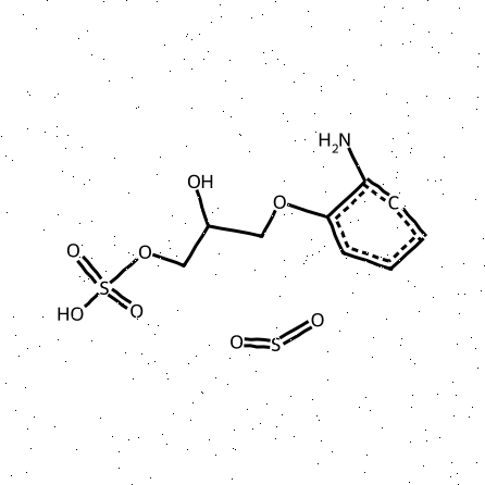 Nc1ccccc1OCC(O)COS(=O)(=O)O.O=S=O